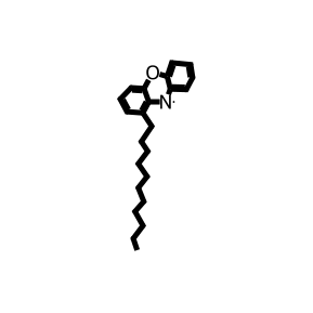 CCCCCCCCCCCc1cccc2c1[N]c1ccccc1O2